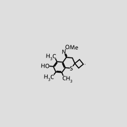 CON=C1CC2(C[CH]C2)Sc2c(C)c(C)c(O)c(C)c21